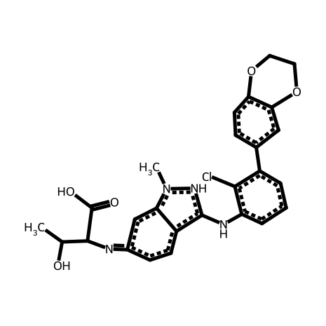 CC(O)C(N=c1ccc2c(Nc3cccc(-c4ccc5c(c4)OCCO5)c3Cl)[nH]n(C)c-2c1)C(=O)O